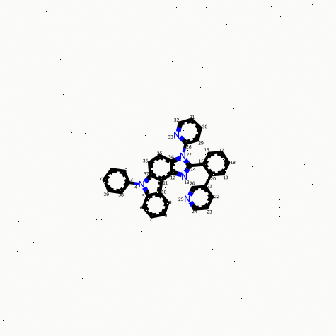 c1ccc(-n2c3ccccc3c3c4nc(-c5ccccc5-c5cccnc5)n(-c5ccccn5)c4ccc32)cc1